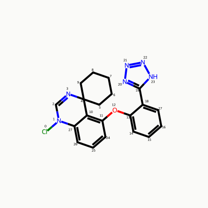 ClN1C=NC2(CCCCC2)c2c(Oc3ccccc3-c3nnn[nH]3)cccc21